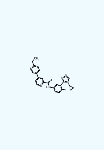 CCc1ccc(-c2ccnc(C(=O)Nc3ccc(F)c(-c4nncn4C4CC4)c3)c2)cn1